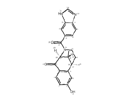 C[C@H]1[C@H]2C(=O)c3ccc(O)cc3[C@]1(C)CCN2C(=O)c1ccc2nc[nH]c2c1